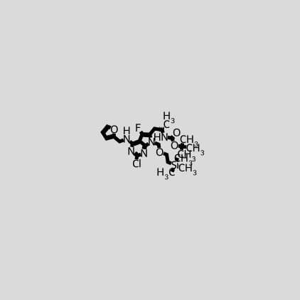 C[C@@H](Cc1c(F)c2c(NCc3ccco3)nc(Cl)nc2n1COCC[Si](C)(C)C)NC(=O)OC(C)(C)C